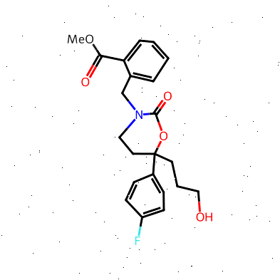 COC(=O)c1ccccc1CN1CCC(CCCO)(c2ccc(F)cc2)OC1=O